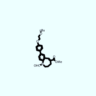 CCCCOCCOc1ccc(-c2ccc3c(c2)C=C(C(=O)OC)CCCN3C=O)cc1